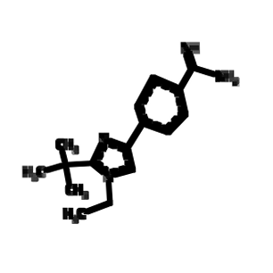 CCn1cc(-c2ccc(C(=N)N)cc2)nc1C(C)(C)C